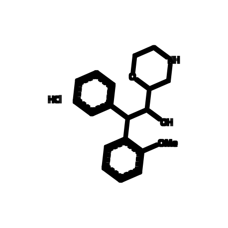 COc1ccccc1C(c1ccccc1)C(O)C1CNCCO1.Cl